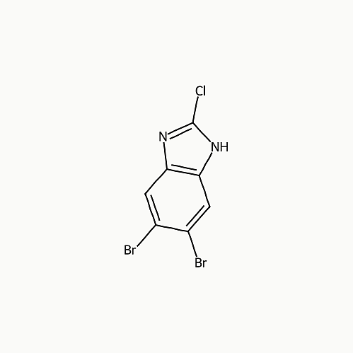 Clc1nc2cc(Br)c(Br)cc2[nH]1